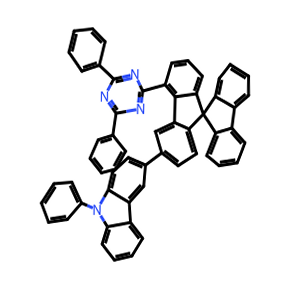 c1ccc(-c2nc(-c3ccccc3)nc(-c3cccc4c3-c3cc(-c5ccc6c(c5)c5ccccc5n6-c5ccccc5)ccc3C43c4ccccc4-c4ccccc43)n2)cc1